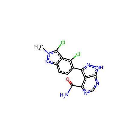 Cn1nc2ccc(-c3n[nH]c4ncnc(C(N)=O)c34)c(Cl)c2c1Cl